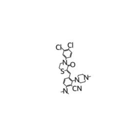 CN1CCN(c2c(/C=C3\SCCN(c4ccc(Cl)c(Cl)c4)C3=O)ccc(N(C)C)c2C#N)CC1